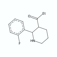 CCC(=O)C1CCCNC1c1ccccc1F